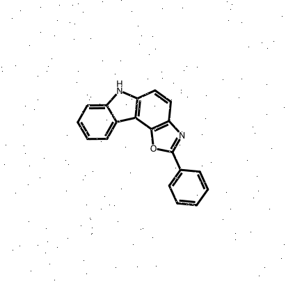 c1ccc(-c2nc3ccc4[nH]c5ccccc5c4c3o2)cc1